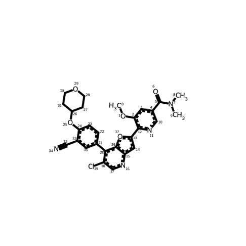 COc1cc(C(=O)N(C)C)cnc1-c1cc2ncc(Cl)c(-c3ccc(OC4CCOCC4)c(C#N)c3)c2o1